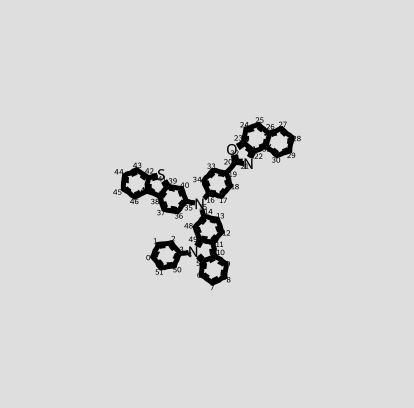 c1ccc(-n2c3ccccc3c3ccc(N(c4ccc(-c5nc6c(ccc7ccccc76)o5)cc4)c4ccc5c(c4)sc4ccccc45)cc32)cc1